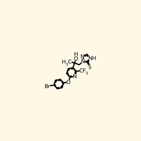 CC(O)(Cn1nc[nH]c1=S)c1ccc(Oc2ccc(Br)cc2)nc1C(F)(F)F